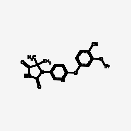 CC(C)Oc1cc(Oc2ccc(N3C(=O)NC(=O)C3(C)C)cn2)ccc1C#N